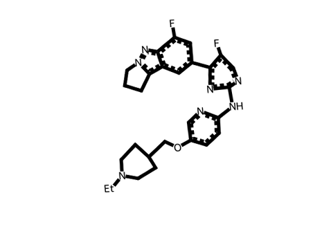 CCN1CCC(COc2ccc(Nc3ncc(F)c(-c4cc(F)c5nn6c(c5c4)CCC6)n3)nc2)CC1